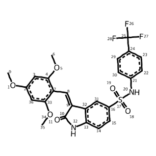 COc1cc(OC)c(C=C2C(=O)Nc3ccc(S(=O)(=O)Nc4ccc(C(F)(F)F)cc4)cc32)c(OC)c1